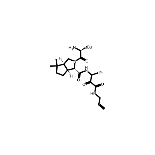 C=CCNC(=O)C(=O)C(CCC)NC(=O)[C@@H]1[C@H]2CCC(C)(C)[C@H]2CN1C(=O)[C@@H](N)C(C)(C)C